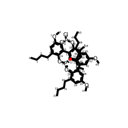 CCCCc1cc(OC)cc(-c2cc(OC)cc(I)c2OP(Cl)Cl)c1Op1oc2c(CCCC)cc(OC)cc2c2cc(OC)cc(CCCC)c2o1